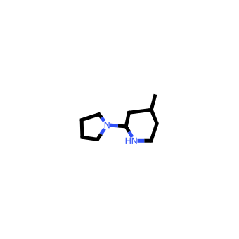 CC1CCNC(N2CCCC2)C1